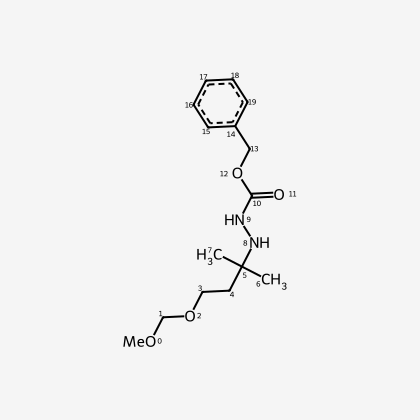 COCOCCC(C)(C)NNC(=O)OCc1ccccc1